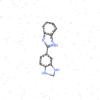 c1ccc2[nH]c(-c3ccc4c(c3)NCN4)nc2c1